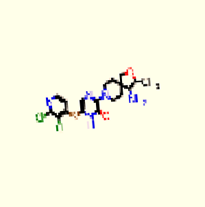 C[C@@H]1OCC2(CCN(c3ncc(Sc4ccnc(Cl)c4Cl)[nH]c3=O)CC2)[C@@H]1N